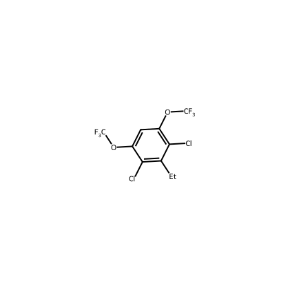 CCc1c(Cl)c(OC(F)(F)F)cc(OC(F)(F)F)c1Cl